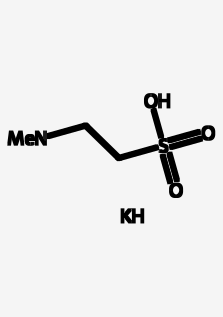 CNCCS(=O)(=O)O.[KH]